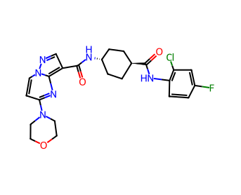 O=C(N[C@H]1CC[C@H](C(=O)Nc2ccc(F)cc2Cl)CC1)c1cnn2ccc(N3CCOCC3)nc12